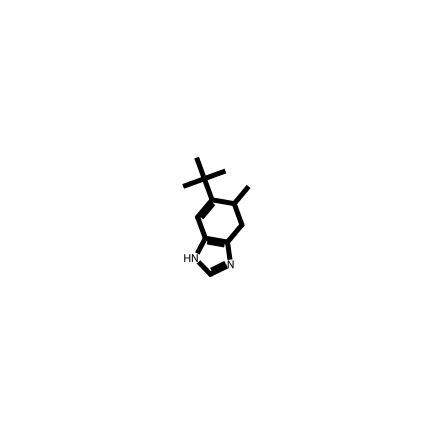 CC1Cc2nc[nH]c2C=C1C(C)(C)C